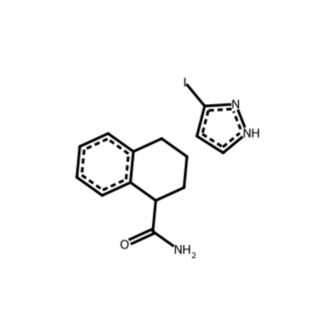 Ic1cc[nH]n1.NC(=O)C1CCCc2ccccc21